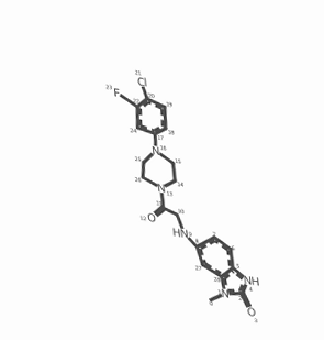 Cn1c(=O)[nH]c2ccc(NCC(=O)N3CCN(c4ccc(Cl)c(F)c4)CC3)cc21